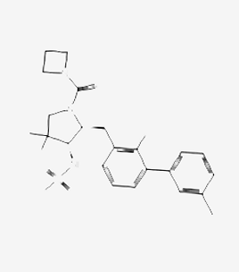 CCS(=O)(=O)N[C@@H]1[C@H](Cc2cccc(-c3cccc(C)c3)c2F)N(C(=O)N2CCC2)CC1(F)F